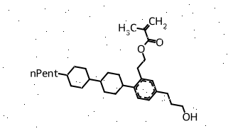 C=C(C)C(=O)OCCc1cc(CCCO)ccc1C1CCC(C2CCC(CCCCC)CC2)CC1